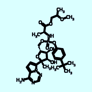 COC(C)COC(=O)[C@H](C)NP(=O)(OC[C@H]1O[C@@](C)(c2ccc3c(N)ncnn23)[C@H](O)[C@@H]1O)Oc1ccc(C(C)(C)C)cc1